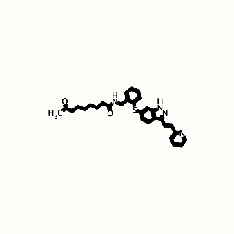 CC(=O)CCCCCCC(=O)NCc1ccccc1Sc1ccc2c(/C=C/c3ccccn3)n[nH]c2c1